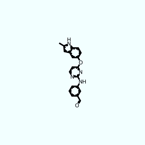 Cc1cc2cc(Oc3ccnc(Nc4cccc(C=O)c4)n3)ccc2[nH]1